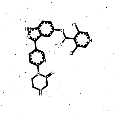 N[C@@H](Oc1ccc2[nH]nc(-c3ccc(N4CCNCC4=O)nc3)c2c1)c1c(Cl)cncc1Cl